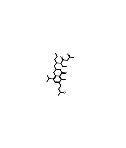 CCCC(CC1CC(=O)c2c(C)c(CCC(C)=O)cc(C(C)C)c2C1)C(CC)C(=O)CC(C)=O